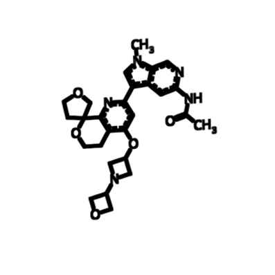 CC(=O)Nc1cc2c(-c3cc(OC4CN(C5COC5)C4)c4c(n3)C3(CCOC3)OCC4)cn(C)c2cn1